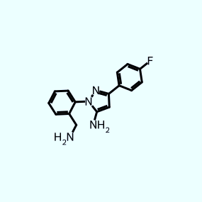 NCc1ccccc1-n1nc(-c2ccc(F)cc2)cc1N